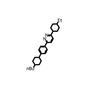 CCCCC1CCC(c2ccc(-c3ccc(C4CCC(CC)CC4)nn3)cc2)CC1